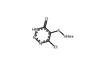 CCCCCCSc1c(CC)nn[nH]c1=O